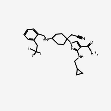 N#CC[C@]1(n2cc(C(N)=O)c(NCC3CC3)n2)CC[C@H](NCc2ccccc2CC(F)(F)F)CC1